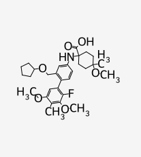 COc1cc(-c2ccc(NC3(C(=O)O)CCC(C)(OC)CC3)cc2COC2CCCC2)c(F)c(OC)c1C